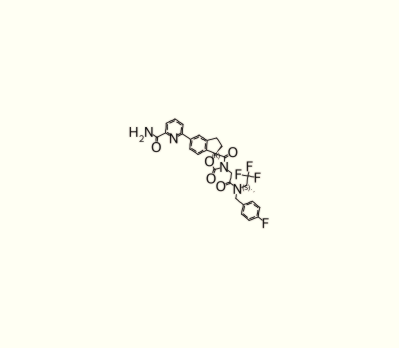 C[C@H](N(Cc1ccc(F)cc1)C(=O)CN1C(=O)O[C@@]2(CCc3cc(-c4cccc(C(N)=O)n4)ccc32)C1=O)C(F)(F)F